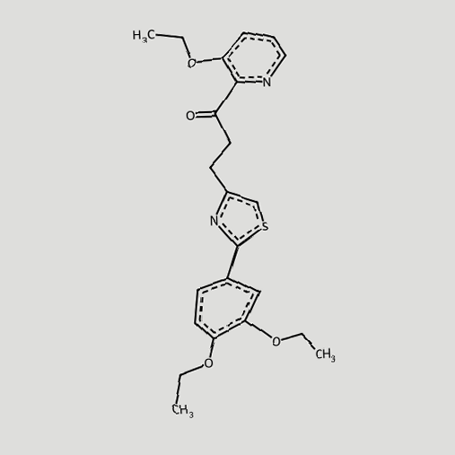 CCOc1ccc(-c2nc(CCC(=O)c3ncccc3OCC)cs2)cc1OCC